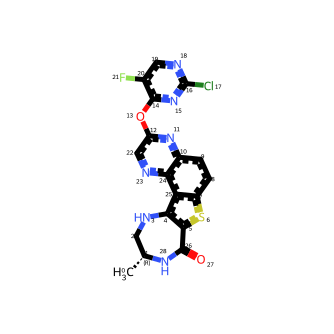 C[C@@H]1CNc2c(sc3ccc4nc(Oc5nc(Cl)ncc5F)cnc4c23)C(=O)N1